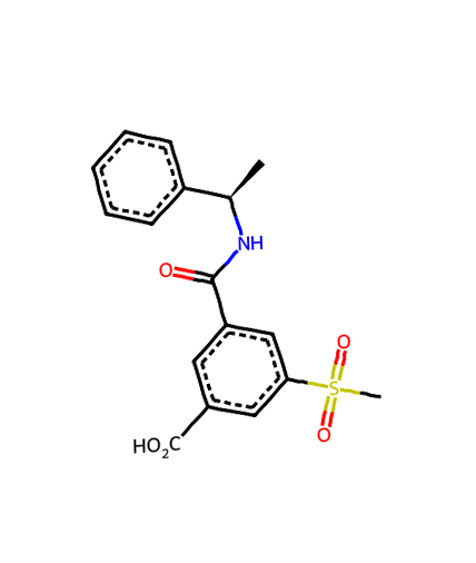 C[C@@H](NC(=O)c1cc(C(=O)O)cc(S(C)(=O)=O)c1)c1ccccc1